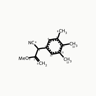 C=C(OC)C(C#N)c1cc(C)c(C)c(C)c1